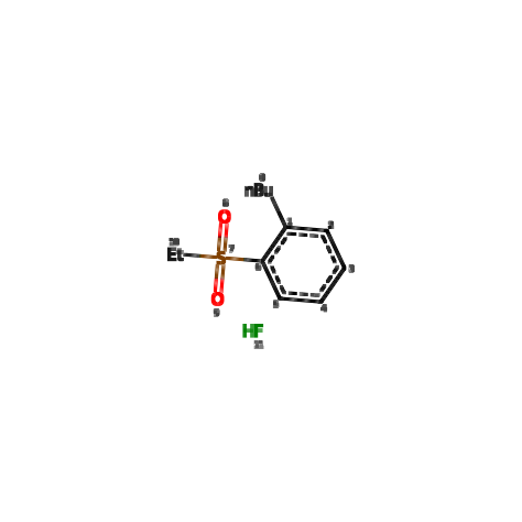 CCCCc1ccccc1S(=O)(=O)CC.F